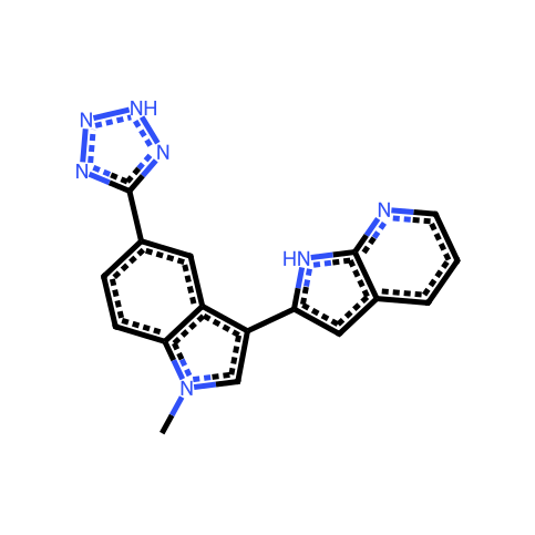 Cn1cc(-c2cc3cccnc3[nH]2)c2cc(-c3nn[nH]n3)ccc21